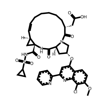 COc1ccc2c(O[C@@H]3C[C@H]4C(=O)N[C@]5(C(=O)NS(=O)(=O)C6CC6)C[C@H]5/C=C\CCCCC[C@H](CC(=O)O)C(=O)N4C3)cc(-c3ccccn3)nc2c1Cl